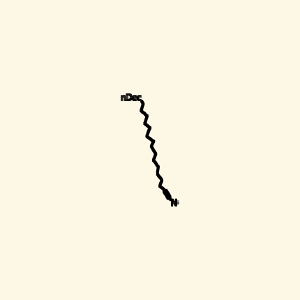 CCCCCCCCCCCCCCCCCCCCCCCCC#C[N]